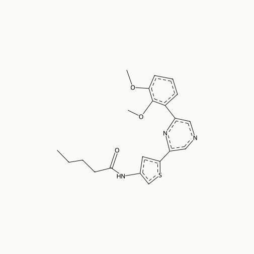 CCCCC(=O)Nc1csc(-c2cncc(-c3cccc(OC)c3OC)n2)c1